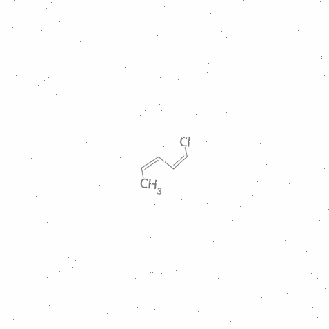 C/C=C\C=C/Cl